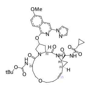 COc1ccc2c(OC3C[C@H]4C(=O)N[C@]5(C(=O)NS(=O)(=O)C6CC6)C[C@H]5/C=C\CCOCC[C@H](NC(=O)OC(C)(C)C)C(=O)N4C3)nc(-n3cccn3)cc2c1